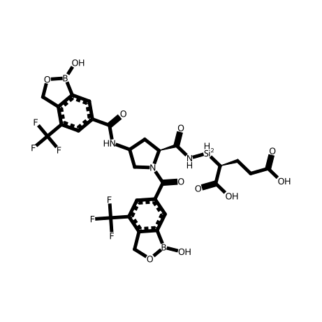 O=C(O)CC[C@H]([SiH2]NC(=O)[C@@H]1CC(NC(=O)c2cc3c(c(C(F)(F)F)c2)COB3O)CN1C(=O)c1cc2c(c(C(F)(F)F)c1)COB2O)C(=O)O